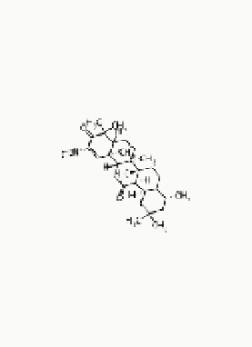 [C-]#[N+]C1=C[C@]2(C)[C@H]3CC(=O)[C@@H]4[C@@H]5CC(C)(C)C[C@@H](C)C5CC[C@@]4(C)[C@]3(C)CC[C@H]2C(C)(C)C1=O